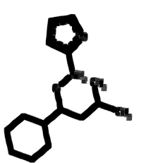 CC(C)CC(O[SiH2]c1ccco1)C1CCCCC1